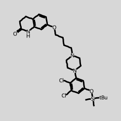 CC(C)(C)[Si](C)(C)Oc1cc(Cl)c(Cl)c(N2CCN(CCCCOc3ccc4c(c3)NC(=O)CC4)CC2)c1